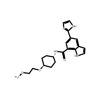 COCCO[C@H]1CC[C@H](NC(=O)c2cc(-c3ncc[nH]3)cc3cc[nH]c23)CC1